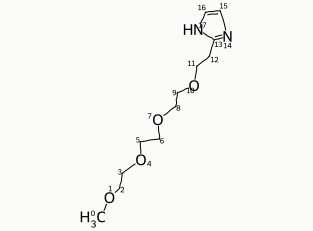 COCCOCCOCCOCCc1ncc[nH]1